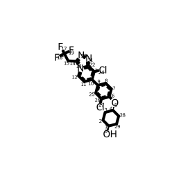 O[C@H]1CC[C@H](Oc2ccc(-c3ccn4c(CC(F)(F)F)nnc4c3Cl)cc2Cl)CC1